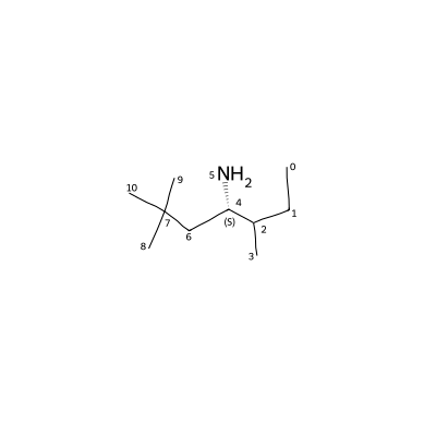 CCC(C)[C@@H](N)CC(C)(C)C